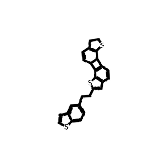 C1=CC2c3c(ccc4cc(CCc5ccc6sccc6c5)sc34)C2C2=C1CCS2